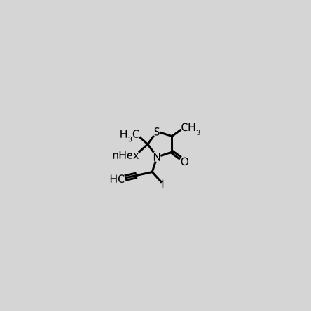 C#CC(I)N1C(=O)C(C)SC1(C)CCCCCC